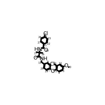 COc1ccc(Oc2ccc(CNC(=O)C(C)(C)NC(=O)c3ccc(Cl)cc3)cc2)c(Cl)c1